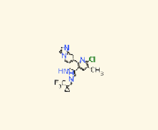 Cc1cc(/C(C=N)=C/NCC2(C(F)(F)F)CC2)c(-c2ccn3ccnc3c2)nc1Cl